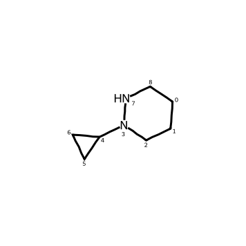 C1CCN(C2CC2)NC1